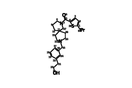 CC(C)c1ccc(C(=O)N2CCCC3(CCN(Cc4cccc(CCO)c4)CC3)C2)s1